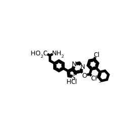 Cl.NC(Cc1ccc(-c2csc3c(OC(c4ccc(Cl)cc4C4=CCCCC4)C(F)(F)F)ncnc23)cc1)C(=O)O